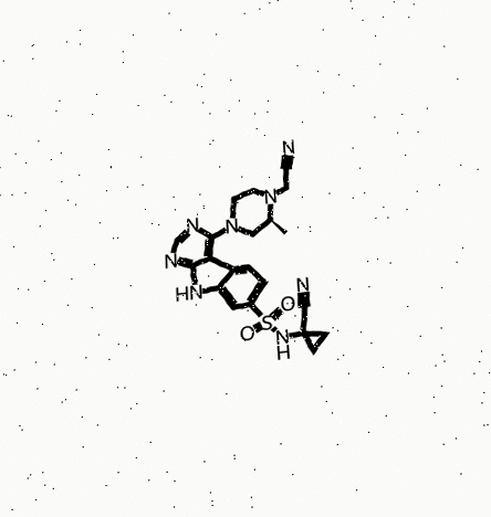 C[C@H]1CN(c2ncnc3[nH]c4cc(S(=O)(=O)NC5(C#N)CC5)ccc4c23)CCN1CC#N